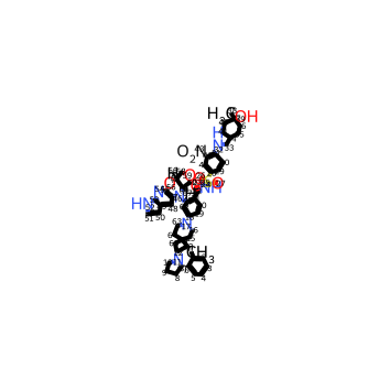 Cc1ccccc1[C@@H]1CCCN1C1CC2(CCN(c3ccc(C(=O)NS(=O)(=O)c4ccc(NCC5CCC(C)(O)CC5)c([N+](=O)[O-])c4)c(N4c5cc6cc[nH]c6nc5O[C@@H]5COC[C@@H]54)c3)CC2)C1